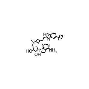 CN(C[C@@H]1C[C@H](n2ccc3c(N)ncnc32)[C@H](O)[C@H]1O)C1CC(CCc2nc3cc(C4(C)CCC4)ccc3[nH]2)C1